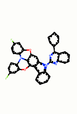 Fc1ccc2c(c1)Oc1cc3c(c4c1N2c1ccc(F)cc1O4)c1ccccc1n3-c1nc(-c2ccccc2)c2ccccc2n1